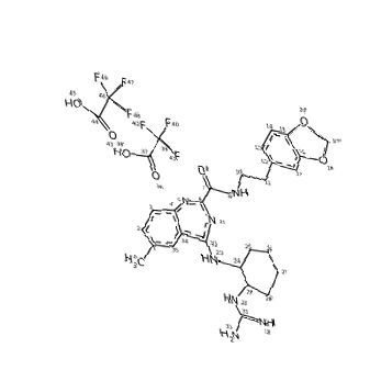 Cc1ccc2nc(C(=O)NCCc3ccc4c(c3)OCO4)nc(NC3CCCCC3NC(=N)N)c2c1.O=C(O)C(F)(F)F.O=C(O)C(F)(F)F